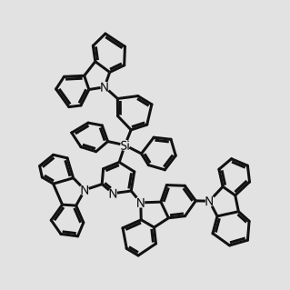 c1ccc([Si](c2ccccc2)(c2cccc(-n3c4ccccc4c4ccccc43)c2)c2cc(-n3c4ccccc4c4ccccc43)nc(-n3c4ccccc4c4cc(-n5c6ccccc6c6ccccc65)ccc43)c2)cc1